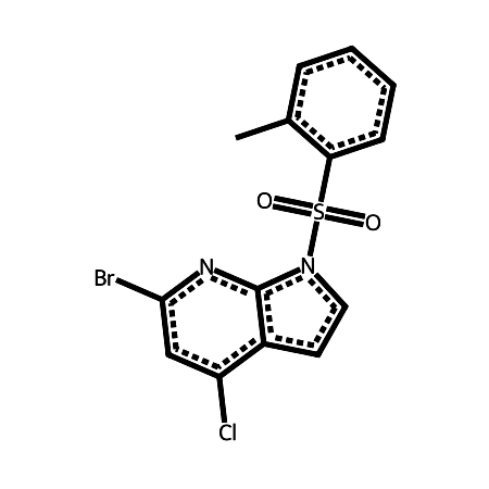 Cc1ccccc1S(=O)(=O)n1ccc2c(Cl)cc(Br)nc21